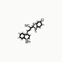 CCC[n+]1ccc(/C=C/C(C#N)=C2/Sc3cc(Cl)ccc3N2C)c2ccccc21